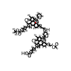 CC(=O)OCCOc1ccc(-c2nn(C3CC4(C3)CN(C(=O)O)C4)c(C)c2-c2c(Cl)c(C)cc3c2cnn3C2CCCCO2)cc1.Cc1cc2c(cnn2C2CCCCO2)c(-c2c(-c3ccc(OCCO)cc3)nn(C3CC4(C3)CN(C(=O)OC(C)(C)C)C4)c2C)c1Cl